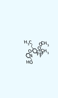 CCCc1cc(C(C)(OCOC)C(F)(F)F)ccc1Oc1cccc(CO)n1